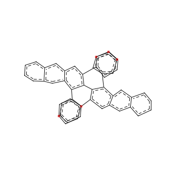 c1ccc(-c2cc3cc4ccccc4cc3c(-c3ccccc3)c2-c2c(-c3ccccc3)cc3cc4ccccc4cc3c2-c2ccccc2)cc1